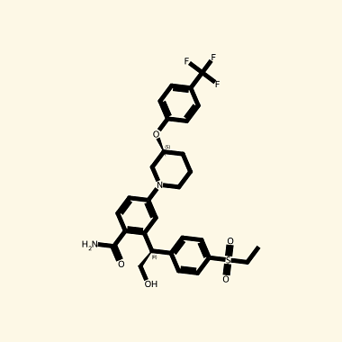 CCS(=O)(=O)c1ccc([C@@H](CO)c2cc(N3CCC[C@H](Oc4ccc(C(F)(F)F)cc4)C3)ccc2C(N)=O)cc1